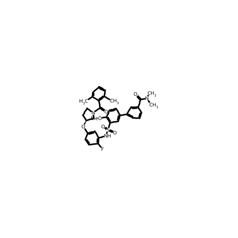 COc1ccc(-c2cccc(C(=O)N(C)C)c2)cc1S(=O)(=O)Nc1cc(O[C@H]2CCN(C(=O)c3c(C)cccc3C)C2)ccc1F